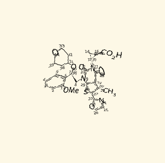 COc1ccccc1[C@H](Cn1c(=O)n([C@@H]2C[C@H]2C(=O)O)c(=O)c2c(C)c(-c3ncco3)sc21)OC1CCOCC1